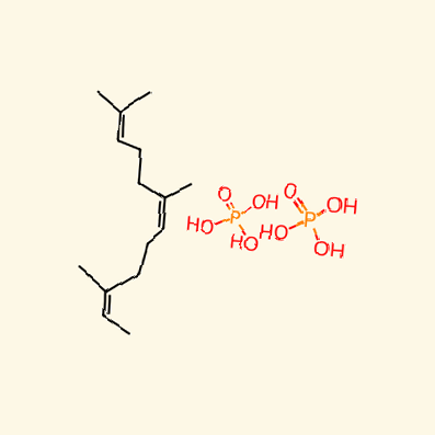 CC=C(C)CCC=C(C)CCC=C(C)C.O=P(O)(O)O.O=P(O)(O)O